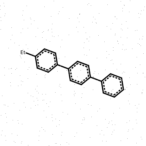 CCc1ccc(-c2ccc(-c3cc[c]cc3)cc2)cc1